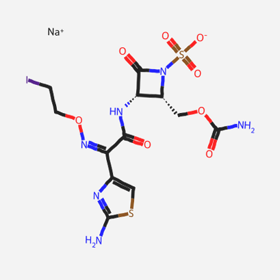 NC(=O)OC[C@@H]1[C@H](NC(=O)/C(=N\OCCI)c2csc(N)n2)C(=O)N1S(=O)(=O)[O-].[Na+]